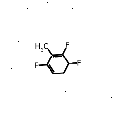 CC1=C(F)[C@@H](F)CC=C1F